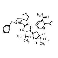 CC(C)(C)[C@H](NC(=O)NC1(COCc2ccccc2)CCCC1)C(=O)N1C[C@H]2[C@@H]([C@H]1C(=O)NC(C(=O)C(N)=O)C1CC1)C2(C)C